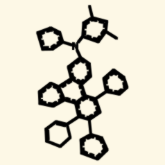 Cc1cc(C)cc(N(c2ccccc2)c2ccc3c(c2)c2ccccc2c2c(C4=CC=CCC4)c(-c4ccccc4)cc(-c4ccccc4)c32)c1